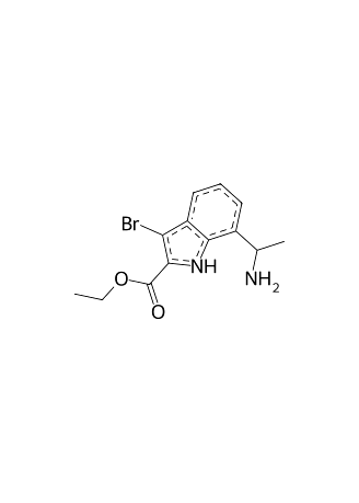 CCOC(=O)c1[nH]c2c(C(C)N)cccc2c1Br